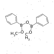 COB(OB(OC)c1ccccc1)c1ccccc1